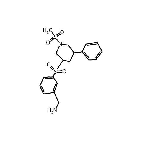 CS(=O)(=O)N1CC(c2ccccc2)CC(S(=O)(=O)c2cccc(CN)c2)C1